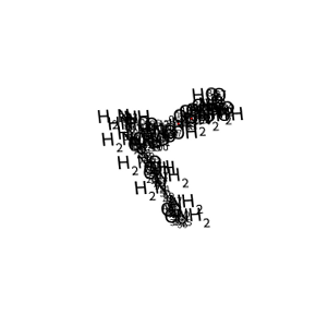 CC(C)[C@H](N)C(=O)O.CC[C@H](C)[C@H](N)C(=O)O.CC[C@H](C)[C@H](N)C(=O)O.CC[C@H](C)[C@H](N)C(=O)O.CC[C@H](C)[C@H](N)C(=O)OC(=O)[C@@H](N)CCCCN.N=C(N)NCCC[C@H](N)C(=O)Oc1ccc(C[C@H](N)C(=O)O)cc1.NCC(=O)O.N[C@@H](CCC(=O)O)C(=O)O.N[C@@H](Cc1c[nH]c2ccccc12)C(=O)O.O=C(O)[C@@H]1CCCN1